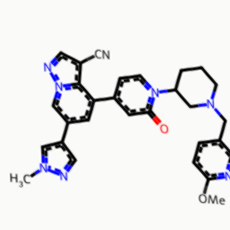 COc1ccc(CN2CCCC(n3ccc(-c4cc(-c5cnn(C)c5)cn5ncc(C#N)c45)cc3=O)C2)cn1